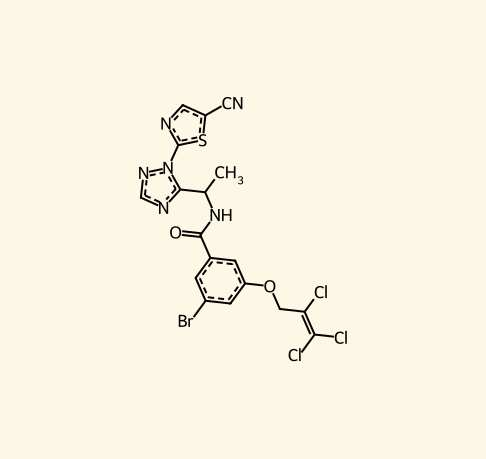 CC(NC(=O)c1cc(Br)cc(OCC(Cl)=C(Cl)Cl)c1)c1ncnn1-c1ncc(C#N)s1